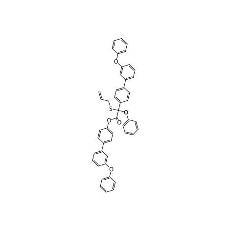 C=CCSC(Oc1ccccc1)(C(=O)Oc1ccc(-c2cccc(Oc3ccccc3)c2)cc1)c1ccc(-c2cccc(Oc3ccccc3)c2)cc1